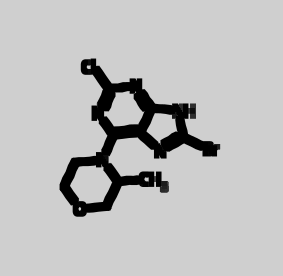 CC1COCCN1c1nc(Cl)nc2[nH]c(Br)nc12